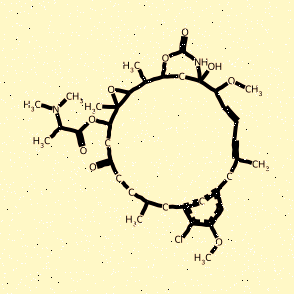 COc1cc2cc(c1Cl)CC(C)CCC(=O)CC(OC(=O)C(C)N(C)C)C1(C)OC1C(C)C1CC(O)(NC(=O)O1)C(OC)/C=C/C=C(\C)C2